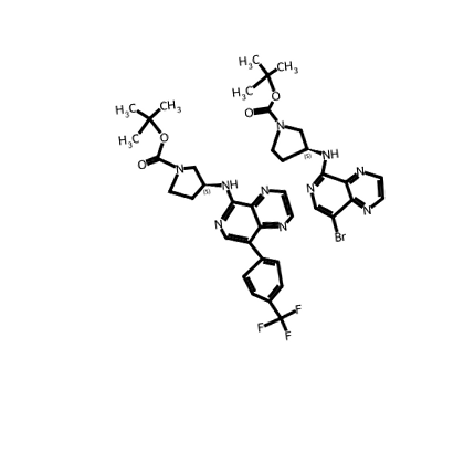 CC(C)(C)OC(=O)N1CC[C@H](Nc2ncc(-c3ccc(C(F)(F)F)cc3)c3nccnc23)C1.CC(C)(C)OC(=O)N1CC[C@H](Nc2ncc(Br)c3nccnc23)C1